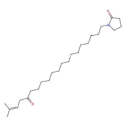 CC(C)=CCC(=O)CCCCCCCCCCCCCCCN1CCCC1=O